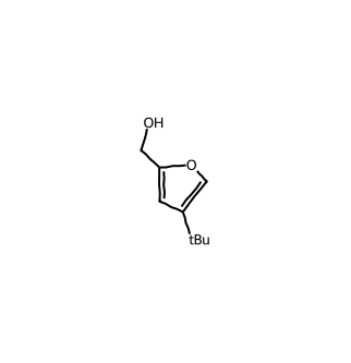 CC(C)(C)c1coc(CO)c1